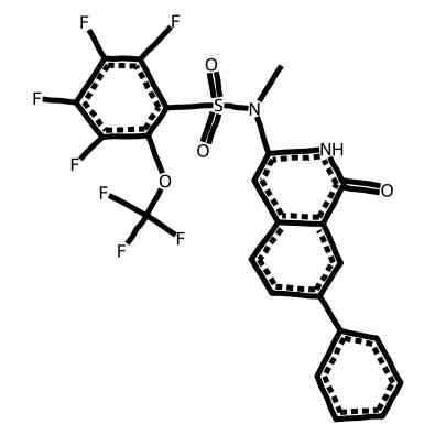 CN(c1cc2ccc(-c3ccccc3)cc2c(=O)[nH]1)S(=O)(=O)c1c(F)c(F)c(F)c(F)c1OC(F)(F)F